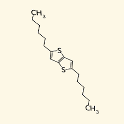 CCCCCCc1cc2sc(CCCCCC)cc2s1